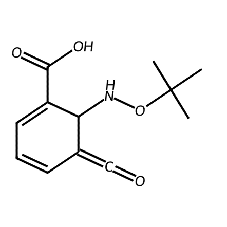 CC(C)(C)ONC1C(=C=O)C=CC=C1C(=O)O